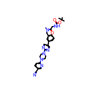 CN(Cc1cccc(-c2cnc(N3CCN(c4ccc(C#N)cn4)CC3)nc2)c1)C(=O)CNC(=O)OC(C)(C)C